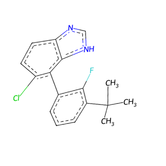 CC(C)(C)c1cccc(-c2c(Cl)ccc3nc[nH]c23)c1F